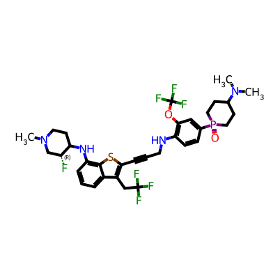 CN1CCC(Nc2cccc3c(CC(F)(F)F)c(C#CCNc4ccc(P5(=O)CCC(N(C)C)CC5)cc4OC(F)(F)F)sc23)[C@H](F)C1